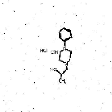 CC(O)CN1CCN(c2ccccc2)CC1.Cl.Cl